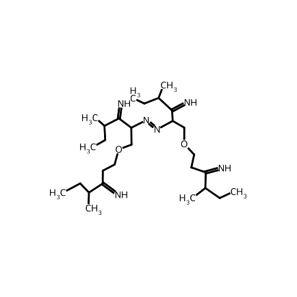 CCC(C)C(=N)CCOCC(N=NC(COCCC(=N)C(C)CC)C(=N)C(C)CC)C(=N)C(C)CC